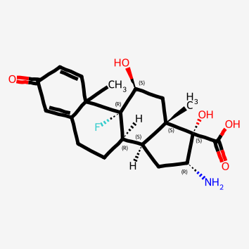 CC12C=CC(=O)C=C1CC[C@@H]1[C@@H]3C[C@@H](N)[C@](O)(C(=O)O)[C@@]3(C)C[C@H](O)[C@@]12F